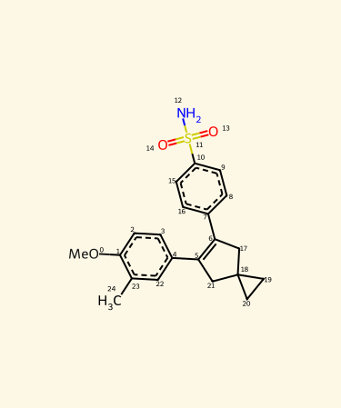 COc1ccc(C2=C(c3ccc(S(N)(=O)=O)cc3)CC3(CC3)C2)cc1C